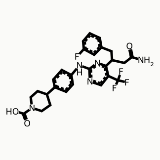 NC(=O)CC(Cc1cccc(F)c1)c1nc(Nc2ccc(C3CCN(C(=O)O)CC3)cc2)ncc1C(F)(F)F